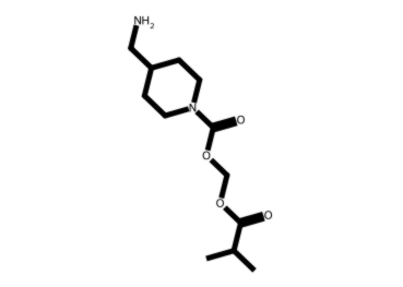 CC(C)C(=O)OCOC(=O)N1CCC(CN)CC1